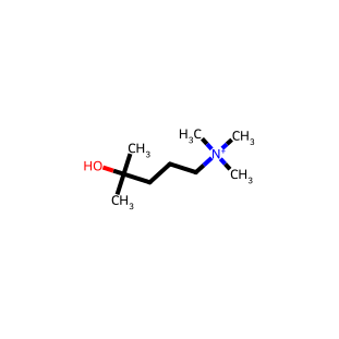 CC(C)(O)CCC[N+](C)(C)C